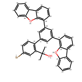 CC(C)(O)c1cc(Br)ccc1-c1cc(-c2cccc3c2oc2ccccc23)cc(-c2cccc3c2oc2ccccc23)c1